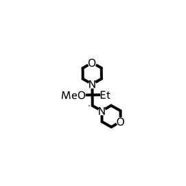 CCC([CH]N1CCOCC1)(OC)N1CCOCC1